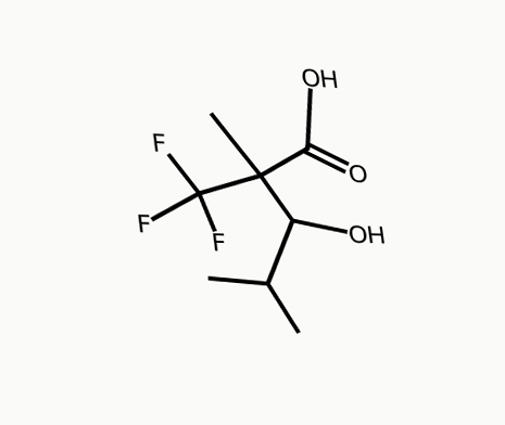 CC(C)C(O)C(C)(C(=O)O)C(F)(F)F